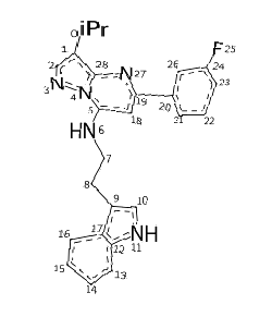 CC(C)c1cnn2c(NCCc3c[nH]c4ccccc34)cc(-c3cccc(F)c3)nc12